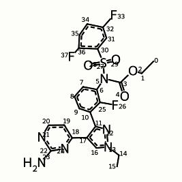 CCOC(=O)N(c1cccc(-c2nn(CC)cc2-c2ccnc(N)n2)c1F)S(=O)(=O)c1cc(F)ccc1F